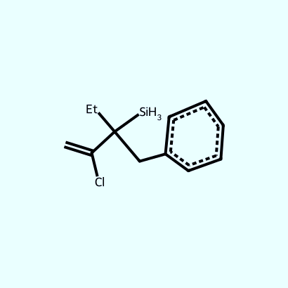 C=C(Cl)C([SiH3])(CC)Cc1ccccc1